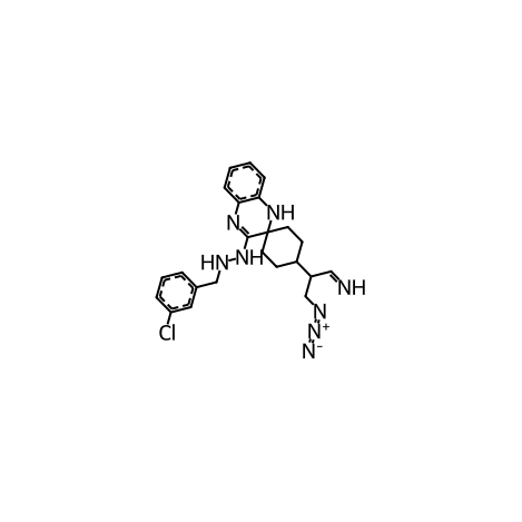 [N-]=[N+]=NCC(C=N)C1CCC2(CC1)Nc1ccccc1N=C2NNCc1cccc(Cl)c1